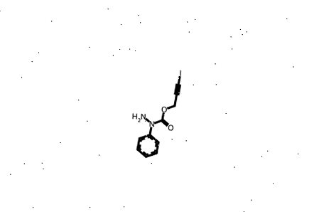 NN(C(=O)OCC#CI)c1ccccc1